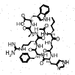 CCCC[C@H](NC(C)=O)C(=O)NCC(=O)N[C@@H](Cc1c[nH]cn1)C(=O)N[C@H](Cc1ccccc1)C(=O)N[C@@H](CCCNC(=N)N)C(=O)N[C@@H](C)C(=O)N[C@@H](Cc1c[nH]c2ccccc12)C(=O)O